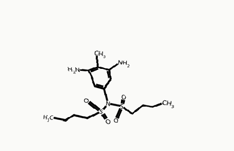 CCCCS(=O)(=O)N(c1cc(N)c(C)c(N)c1)S(=O)(=O)CCCC